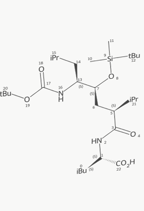 CC[C@H](C)[C@H](NC(=O)[C@@H](C[C@H](O[Si](C)(C)C(C)(C)C)[C@H](CC(C)C)NC(=O)OC(C)(C)C)C(C)C)C(=O)O